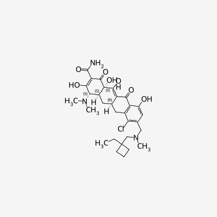 CCC1(CN(C)Cc2cc(O)c3c(c2Cl)C[C@H]2C[C@H]4[C@H](N(C)C)C(O)=C(C(N)=O)C(=O)[C@@]4(O)C(O)=C2C3=O)CCC1